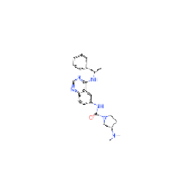 C[C@@H](Nc1ncnc2ccc(NC(=O)N3CC[C@@H](N(C)C)C3)cc12)c1ccccc1